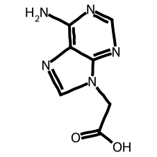 Nc1ncnc2c1ncn2CC(=O)O